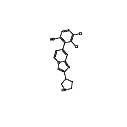 Oc1ccc(Cl)c(Cl)c1-c1ccn2cc(C3CCNC3)nc2c1